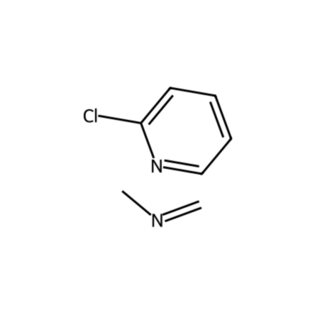 C=NC.Clc1ccccn1